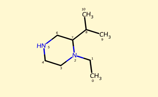 CCN1CCNCC1C(C)C